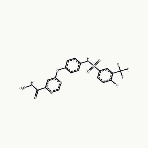 CNC(=O)c1cc(Oc2ccc(NS(=O)(=O)c3ccc(Cl)c(C(F)(F)F)c3)cc2)ncn1